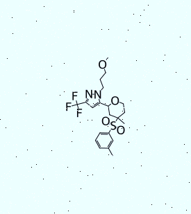 COCCCn1nc(C(F)(F)F)cc1C1CC(C)(S(=O)(=O)c2cccc(C)c2)CCO1